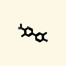 CNc1ncc(-c2ccc(F)c(C)c2)cc1C